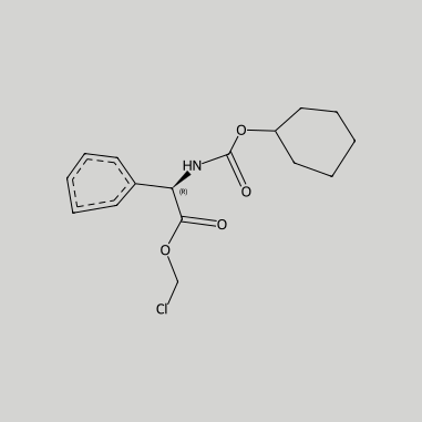 O=C(N[C@@H](C(=O)OCCl)c1ccccc1)OC1CCCCC1